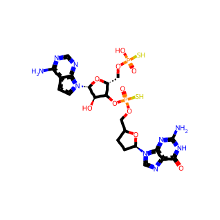 Nc1nc2c(ncn2[C@H]2CCC(COP(=O)(S)OC3[C@@H](O)[C@H](n4ccc5c(N)ncnc54)O[C@@H]3COP(=O)(O)S)O2)c(=O)[nH]1